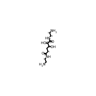 NCCNC(=O)CCC(O)C(O)C(=O)NCCN